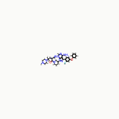 CN1CCN(C(C)(C)/C=C(/C#N)C(=O)N2CCC[C@@H](n3nc(-c4ccc(Oc5ccccc5)cc4F)c4c(N)ncnc43)C2)CC1